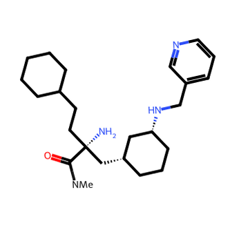 CNC(=O)[C@@](N)(CCC1CCCCC1)C[C@H]1CCC[C@@H](NCc2cccnc2)C1